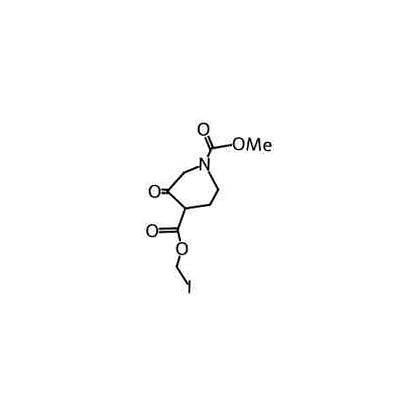 COC(=O)N1CCC(C(=O)OCI)C(=O)C1